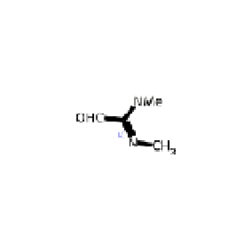 C/N=C(/C=O)NC